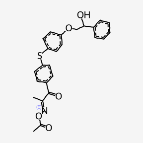 CC(=O)O/N=C(\C)C(=O)c1ccc(Sc2ccc(OCC(O)c3ccccc3)cc2)cc1